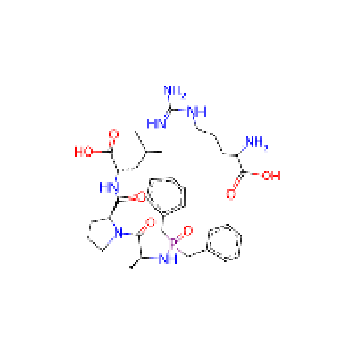 CC(C)C[C@H](NC(=O)[C@@H]1CCCN1C(=O)[C@H](C)NP(=O)(Cc1ccccc1)Cc1ccccc1)C(=O)O.N=C(N)NCCC[C@H](N)C(=O)O